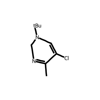 CC1=NCN(C(C)(C)C)C=C1Cl